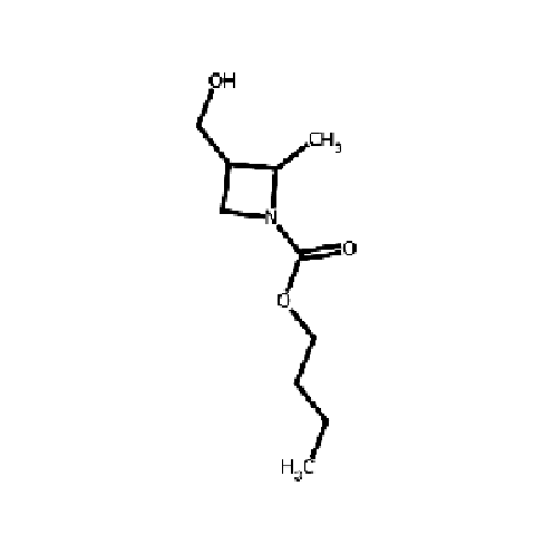 CCCCOC(=O)N1CC(CO)C1C